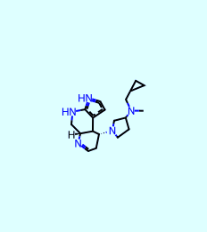 CN(CC1CC1)C1CCN([C@@H]2CC=N[C@@H]3CNc4[nH]ccc4C23)C1